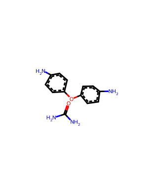 NC(N)=O.Nc1ccc(Oc2ccc(N)cc2)cc1